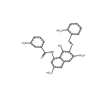 Nc1cccc(C(=O)Nc2cc(S(=O)(=O)O)cc3cc(S(=O)(=O)O)c(N=Nc4ccccc4S(=O)(=O)O)c(O)c23)c1